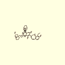 CCc1c(F)ccc2c1SC/C(c1c(F)cc3c(N4CC5CCC(C4)N5)nc(OC[C@@]45CCCN4C[C@H](F)C5)nc3c1F)=C\C=C/2